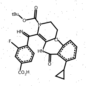 CC(C)(C)OC(=O)N1CCCC(NC(=O)c2c(Cl)cccc2C2CC2)=C1C(=N)c1ccc(C(=O)O)cc1F